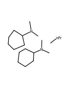 CCCC.CN(C)C1CCCCC1.CN(C)C1CCCCC1